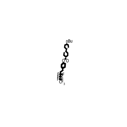 CCCC[C@H]1CC[C@H]([C@H]2CC[C@H](C(=O)Oc3ccc(CCC(F)(F)C(F)(F)C(F)(F)C(F)(F)F)cc3)CC2)CC1